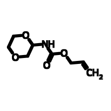 C=CCOC(=O)NC1COCCO1